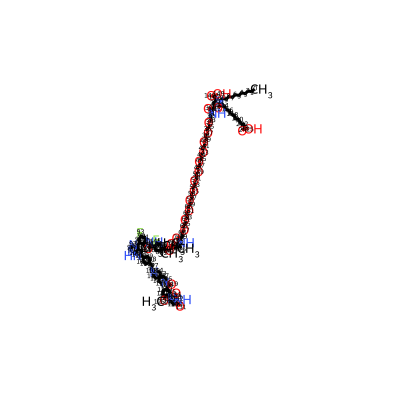 CCCCCCCCCCCN(C(=O)CCCCCCCCCC(=O)O)C(CCC(=O)NCCOCCOCCOCCOCCOCCOCCOCCOCCOCCOCCOCCOCCC(=O)NC(C)(C)CC(=O)OC(C)(C)c1ccc(C(=O)Nc2cc(F)cc(-c3ncnc4[nH]c(-c5ccc(CCN6CCC7(CC6)CCN(C(=O)c6ccc(OC)c(N8CCC(=O)NC8=O)c6)CC7)cc5)cc34)c2C)c(F)c1)C(=O)O